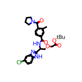 Cc1cc(C(=O)NC(COCC(=O)OC(C)(C)C)c2nc3cc(Cl)ccc3[nH]2)ccc1C(=O)N1CCCC1